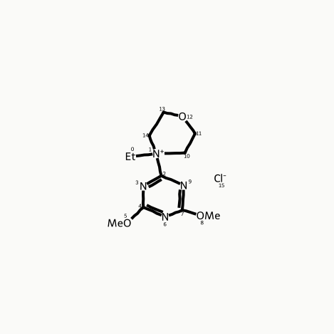 CC[N+]1(c2nc(OC)nc(OC)n2)CCOCC1.[Cl-]